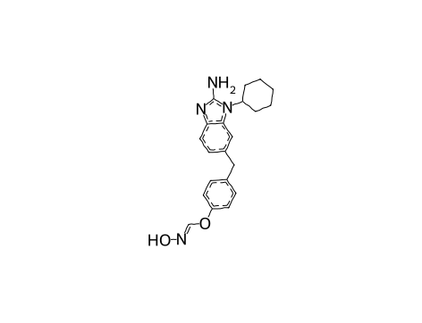 Nc1nc2ccc(Cc3ccc(OC=NO)cc3)cc2n1C1CCCCC1